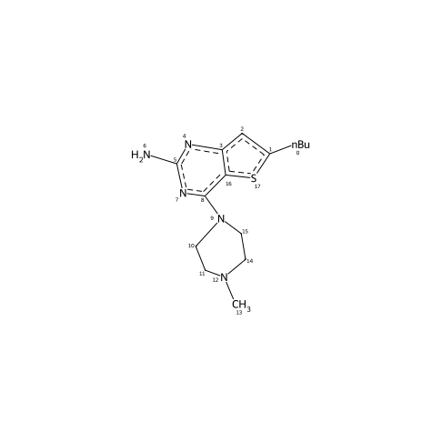 CCCCc1cc2nc(N)nc(N3CCN(C)CC3)c2s1